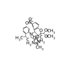 COC(OC)C1(C)Oc2ccc([N+](=O)[O-])cc2C(N(Cc2nnn(C)n2)c2ccccc2C(C)C)C1O